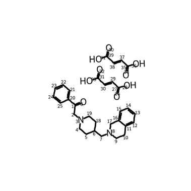 O=C(CN1CCC(CN2CCc3ccccc3C2)CC1)c1ccccc1.O=C(O)C=CC(=O)O.O=C(O)C=CC(=O)O